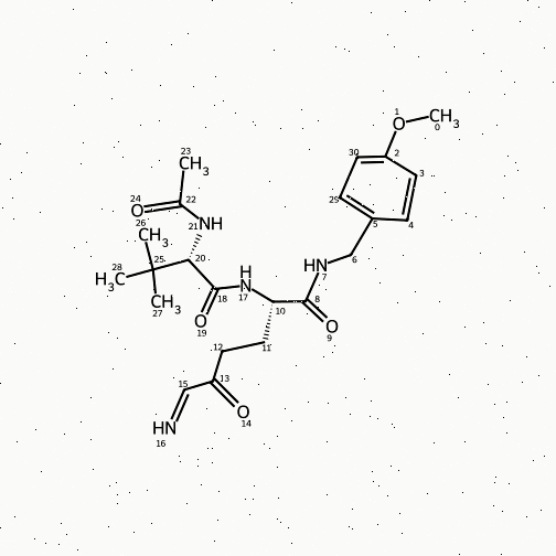 COc1ccc(CNC(=O)[C@H](CCC(=O)C=N)NC(=O)[C@@H](NC(C)=O)C(C)(C)C)cc1